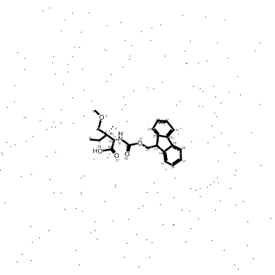 CC[C@@](C)(COC)[C@H](NC(=O)OCC1c2ccccc2-c2ccccc21)C(=O)O